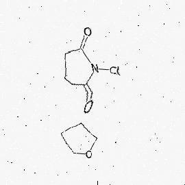 C1CCOC1.O=C1CCC(=O)N1Cl